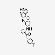 O=C(Cc1ccc(F)cc1)n1cccc1Nc1ccc(Oc2ccnc3[nH]ccc23)c(F)c1